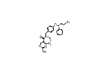 CCC(C)c1ncc2c(n1)N(C)CCN(Cc1ccc(OC(CCC(C)C)c3ccccc3)cc1)C2=O